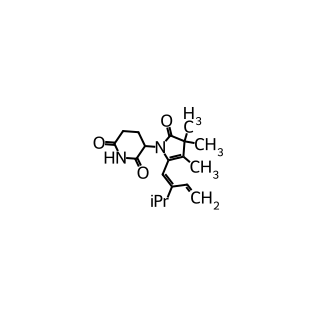 C=C/C(=C\C1=C(C)C(C)(C)C(=O)N1C1CCC(=O)NC1=O)C(C)C